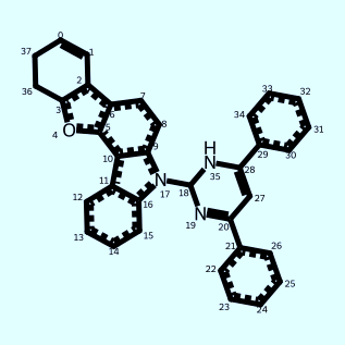 C1=Cc2c(oc3c2ccc2c3c3ccccc3n2C2N=C(c3ccccc3)C=C(c3ccccc3)N2)CC1